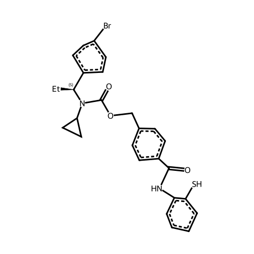 CC[C@@H](c1ccc(Br)cc1)N(C(=O)OCc1ccc(C(=O)Nc2ccccc2S)cc1)C1CC1